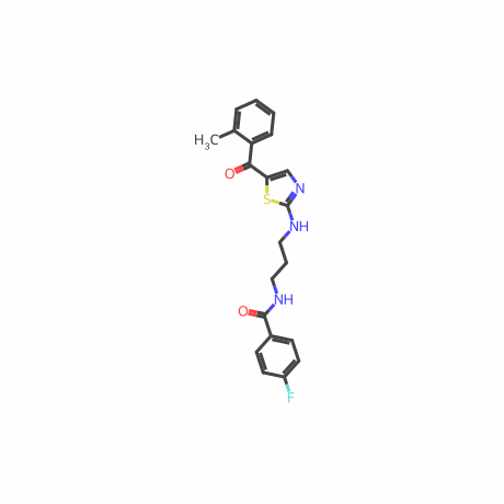 Cc1ccccc1C(=O)c1cnc(NCCCNC(=O)c2ccc(F)cc2)s1